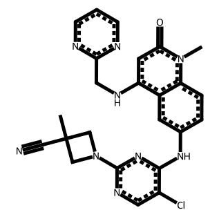 Cn1c(=O)cc(NCc2ncccn2)c2cc(Nc3nc(N4CC(C)(C#N)C4)ncc3Cl)ccc21